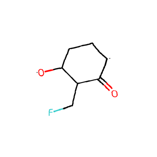 [O]C1CC[CH]C(=O)C1CF